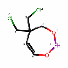 ClCC1(CCl)C=COPOC1